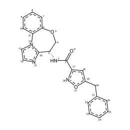 O=C(N[C@H]1COc2ccccc2-n2ccnc21)c1cc(Cc2ccccc2)on1